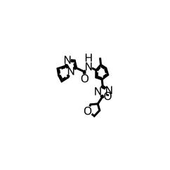 Cc1ccc(-c2noc(C3CCOC3)n2)cc1NC(=O)c1cnc2ccccn12